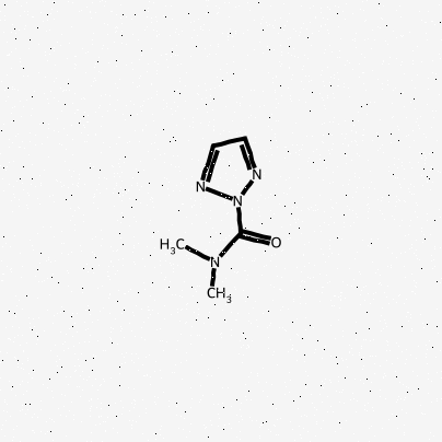 CN(C)C(=O)n1nccn1